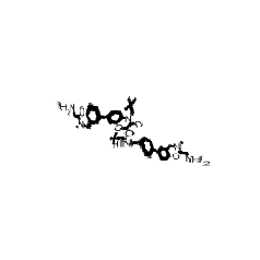 CN(Cc1cccc(-c2ccc(NC(OC(=O)C(=O)N(CC(C)(C)C)c3ccc(-c4cccc(CN(C)C(=O)CN)c4)cc3)C(C)(C)C)cc2)c1)C(=O)CN